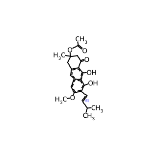 COc1cc2cc3c(c(O)c2c(O)c1/C=C/C(C)C)C(=O)CC(C)(OC(C)=O)C3